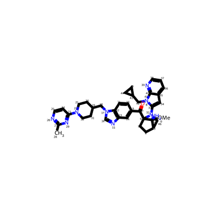 COC1(N)C2CCC1(C(=O)c1ccc3c(c1)ncn3CC1CCN(c3ccnc(C)n3)CC1)N(c1cc3cccnc3n1CC1CC1)C2